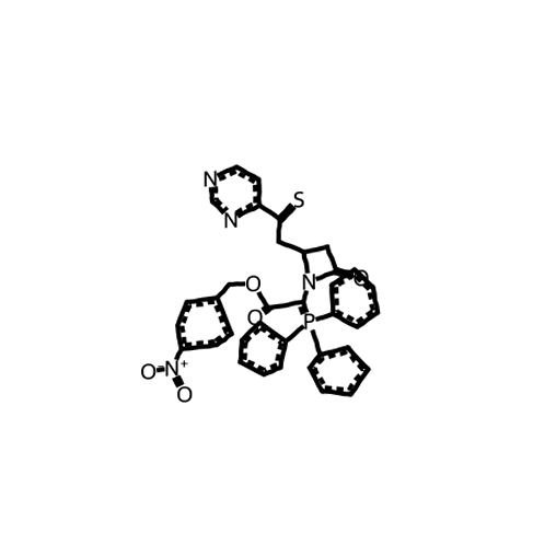 O=C(OCc1ccc([N+](=O)[O-])cc1)C(N1C(=O)CC1CC(=S)c1ccncn1)=P(c1ccccc1)(c1ccccc1)c1ccccc1